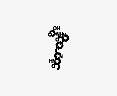 CCc1cc2ncc(CN3CCN(c4cccnc4C(=O)N[C@H]4COC[C@@H]4O)CC3)cc2[nH]c1=O